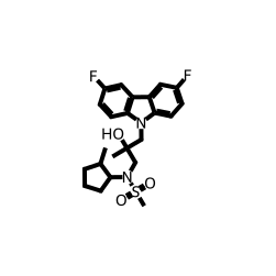 CC1CCCC1N(CC(C)(O)Cn1c2ccc(F)cc2c2cc(F)ccc21)S(C)(=O)=O